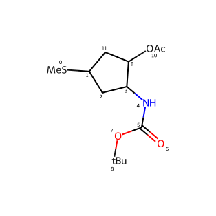 CSC1CC(NC(=O)OC(C)(C)C)C(OC(C)=O)C1